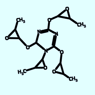 CC1OC1OC1=NC(OC2OC2C)N(C2OC2C)C(OC2OC2C)=N1